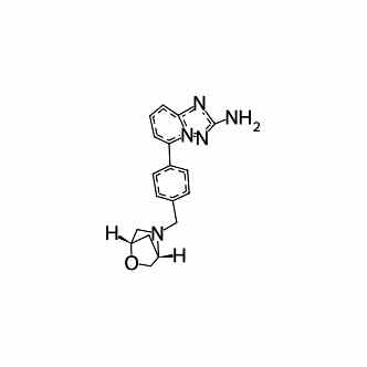 Nc1nc2cccc(-c3ccc(CN4C[C@@H]5C[C@H]4CO5)cc3)n2n1